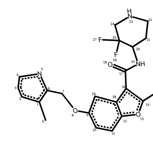 Cc1cccnc1COc1ccc2oc(C)c(C(=O)NC3CCNCC3(F)F)c2c1